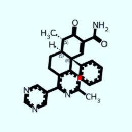 Cc1nc(-c2cncnc2)c2c(n1)[C@@]1(c3ccccc3)C=C(C(N)=O)C(=O)[C@@H](C)[C@@H]1CC2